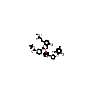 CNC(=O)CCc1ccc(Cl)c(CN(C(=O)[C@@H]2CN(C(=O)OC(C)(C)C)CC[C@H]2c2ccc(N3CC[C@@H](Oc4c(Cl)cc(C)cc4Cl)C3)nc2)C2CC2)c1